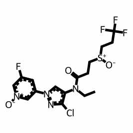 CCN(C(=O)CC[S+]([O-])CCC(F)(F)F)c1cn(-c2cc(F)c[n+]([O-])c2)nc1Cl